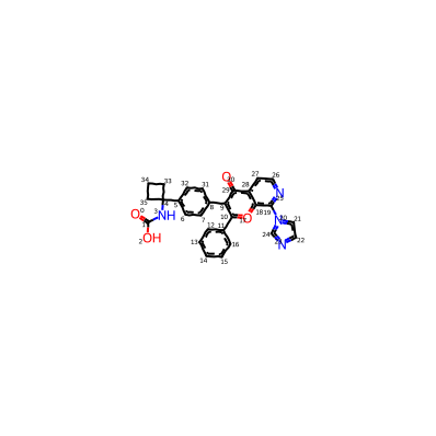 O=C(O)NC1(c2ccc(-c3c(-c4ccccc4)oc4c(-n5ccnc5)nccc4c3=O)cc2)CCC1